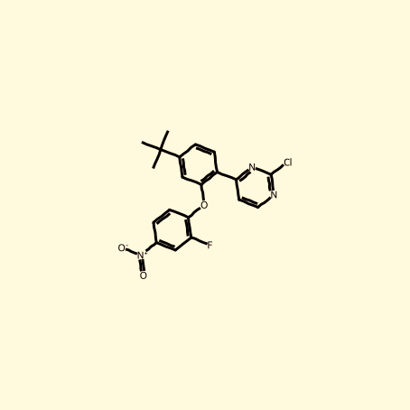 CC(C)(C)c1ccc(-c2ccnc(Cl)n2)c(Oc2ccc([N+](=O)[O-])cc2F)c1